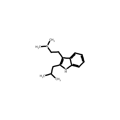 CC(C)Cc1[nH]c2ccccc2c1CCN(C)C